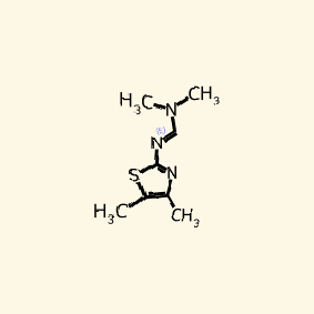 Cc1nc(/N=C/N(C)C)sc1C